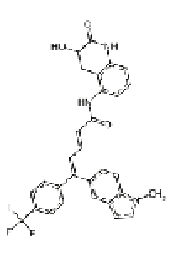 Cn1ccc2cc(C(=CC=CC(=O)Nc3cccc4c3CC(O)C(=O)N4)c3ccc(C(F)(F)F)cc3)ccc21